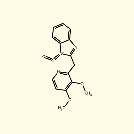 COc1ccnc(CC2=Nc3ccccc3[N+]2=S=O)c1OC